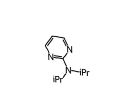 CC(C)N(c1ncccn1)C(C)C